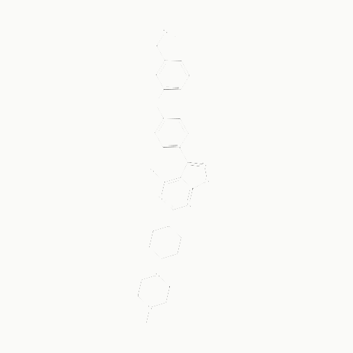 CN1CCN([C@H]2CC[C@@H](c3nc(N)c4c(-c5ccc(Oc6cccc(CN)c6)cc5)n[nH]c4n3)CC2)CC1